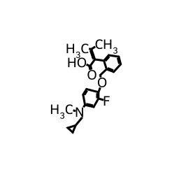 CC(C)=C(C(=O)O)c1ccccc1COc1ccc(N(C)CC2CC2)cc1F